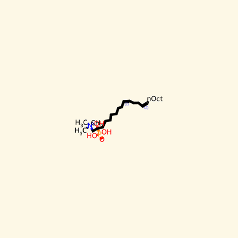 CCCCCCCC/C=C\CC/C=C\CCCCCCCC(O)(C[N+](C)(C)C)P(=O)(O)O